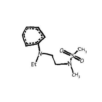 CCN(CCN(C)S(C)(=O)=O)c1ccccc1